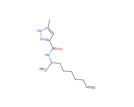 C=CCCCCCC(NC(=O)c1cc(C)[nH]n1)C(=O)O